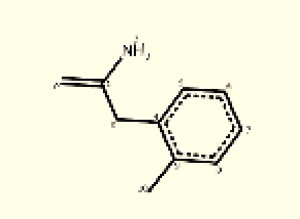 C=C(N)Cc1ccccc1C